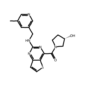 Cc1cncc(CNc2nc(C(=O)N3CC[C@H](O)C3)c3sccc3n2)c1